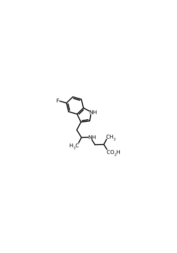 CC(Cc1c[nH]c2ccc(F)cc12)NCC(C)C(=O)O